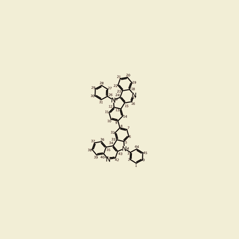 c1ccc(-n2c3ccc(-c4ccc5c(c4)c4cnc6ccccc6c4n5-c4ccccc4)cc3c3c4ccccc4ncc32)cc1